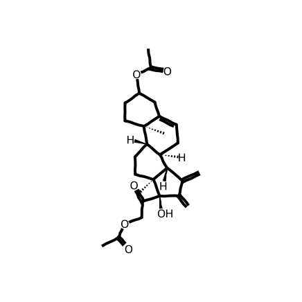 C=C1C(=C)[C@](O)(C(=O)COC(C)=O)[C@@]2(C)CC[C@H]3[C@@H](CC=C4CC(OC(C)=O)CC[C@@]43C)[C@H]12